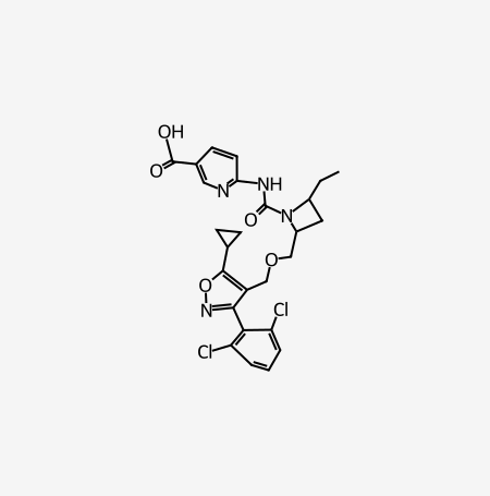 CCC1CC(COCc2c(-c3c(Cl)cccc3Cl)noc2C2CC2)N1C(=O)Nc1ccc(C(=O)O)cn1